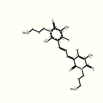 COCCCN1C(=O)C(=CC=Cc2c(C)c(C#N)c(=O)n(CCCOC)c2O)C(C)=C(C#N)C1=O